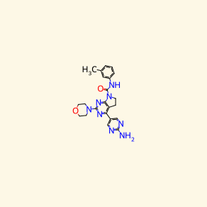 Cc1cccc(NC(=O)N2CCc3c(-c4cnc(N)nc4)nc(N4CCOCC4)nc32)c1